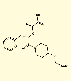 COCOC1CCN(C(=O)[C@H](Cc2ccccc2)O[C@@H](C)C(N)=O)CC1